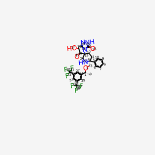 C[C@@H](OC[C@@]1(c2ccccc2)CC[C@](C(=O)CO)(n2cn[nH]c2=O)CN1)c1cc(C(F)(F)F)cc(C(F)(F)F)c1